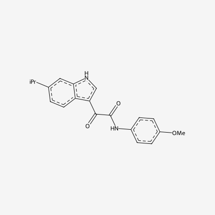 COc1ccc(NC(=O)C(=O)c2c[nH]c3cc(C(C)C)ccc23)cc1